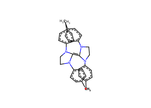 Cc1ccc(N2CCN(c3ccc(C)cc3)C2=C2N(c3ccc(C)cc3)CCN2c2ccc(C)cc2)cc1